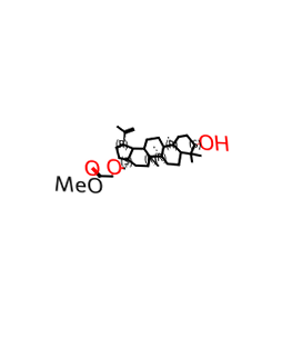 C=C(C)[C@@H]1CC[C@]2(COCC(=O)OC)CC[C@]3(C)C(CCC4[C@@]5(C)CC[C@H](O)C(C)(C)C5CC[C@]43C)C12